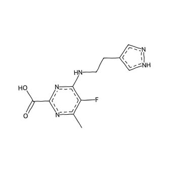 Cc1nc(C(=O)O)nc(NCCc2cn[nH]c2)c1F